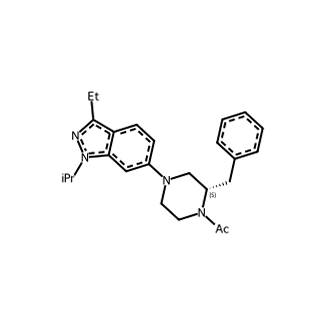 CCc1nn(C(C)C)c2cc(N3CCN(C(C)=O)[C@@H](Cc4ccccc4)C3)ccc12